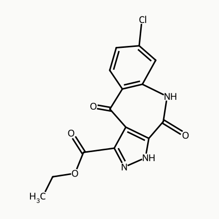 CCOC(=O)c1n[nH]c2c(=O)[nH]c3cc(Cl)ccc3c(=O)c12